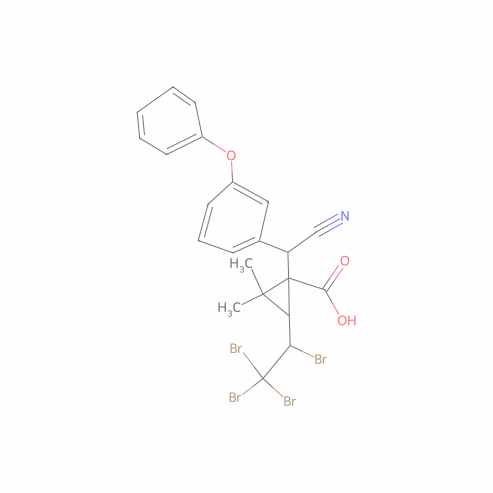 CC1(C)C(C(Br)C(Br)(Br)Br)C1(C(=O)O)C(C#N)c1cccc(Oc2ccccc2)c1